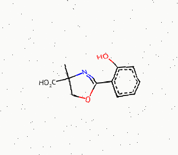 CC1(C(=O)O)COC(c2ccccc2O)=N1